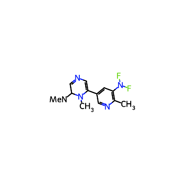 CNC1C=NC=C(c2cnc(C)c(N(F)F)c2)N1C